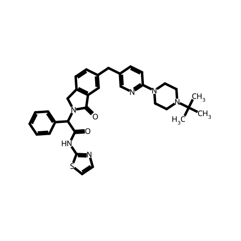 CC(C)(C)N1CCN(c2ccc(Cc3ccc4c(c3)C(=O)N(C(C(=O)Nc3nccs3)c3ccccc3)C4)cn2)CC1